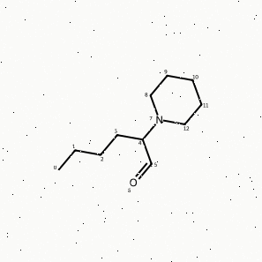 CCCCC([C]=O)N1CCCCC1